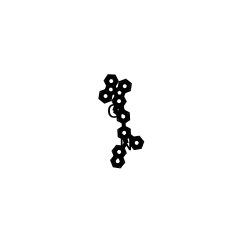 c1ccc2c(c1)-c1ccccc1C21c2ccccc2-c2cc3c(cc21)oc1cc(-c2ccc4c(c2)c2ccccc2n4-c2ccc4ccccc4c2)ccc13